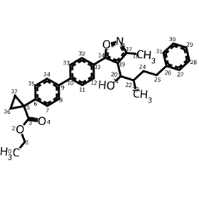 CCOC(=O)C1(c2ccc(-c3ccc(-c4onc(C)c4C(O)C(C)CCc4ccccc4)cc3)cc2)CC1